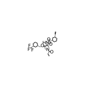 C#Cc1cccc(S(=O)(=O)N[C@@H]2CN(C(=O)C=C)C[C@H]2OCc2cccc(C(F)(F)F)c2)c1